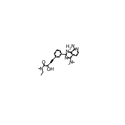 CCN(C)C(=O)[C@H](O)C#Cc1cccc(-c2nc(N(C)C)c3ccnc(N)c3n2)c1